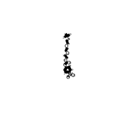 CC(C)(C)SCCOCCOCCOC(=O)Oc1ccc([N+](=O)[O-])cc1